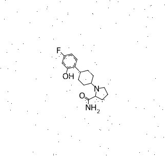 NC(=O)C1[CH]CCN1C1CCC(c2ccc(F)cc2O)CC1